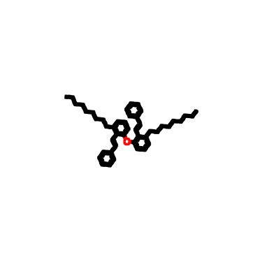 CCCCCCCCCc1cccc(Oc2cccc(CCCCCCCCC)c2C=Cc2ccccc2)c1C=Cc1ccccc1